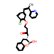 N#CC(=Cc1ccc(Cl)c(OCCC(=O)C[C@@H](Cc2ccccc2)B(O)O)c1)c1ccccn1